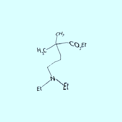 CCOC(=O)C(C)(C)CCN(CC)CC